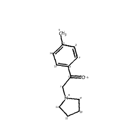 Cc1ccc(C(=O)CN2C[CH]CC2)cc1